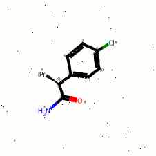 CC(C)[C@H](C(N)=O)c1ccc(Cl)cc1